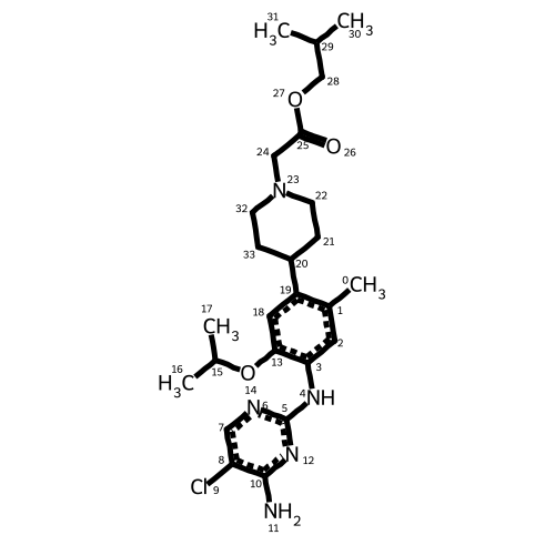 Cc1cc(Nc2ncc(Cl)c(N)n2)c(OC(C)C)cc1C1CCN(CC(=O)OCC(C)C)CC1